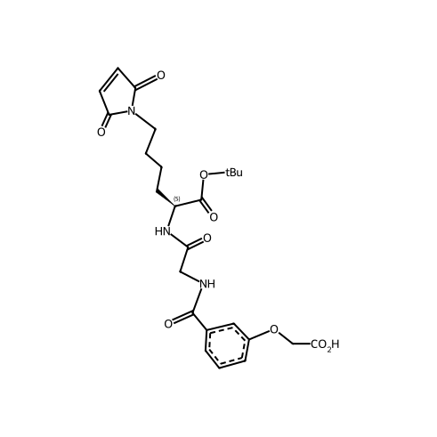 CC(C)(C)OC(=O)[C@H](CCCCN1C(=O)C=CC1=O)NC(=O)CNC(=O)c1cccc(OCC(=O)O)c1